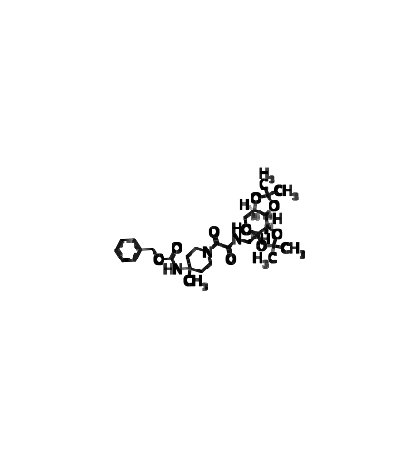 CC1(NC(=O)OCc2ccccc2)CCN(C(=O)C(=O)NC[C@@]23OC[C@H]4OC(C)(C)O[C@H]4[C@@H]2OC(C)(C)O3)CC1